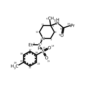 CC[SH](N1CCC(C)(NC(=O)C(C)C)CC1)S(=O)(=O)c1ccc(C)cc1